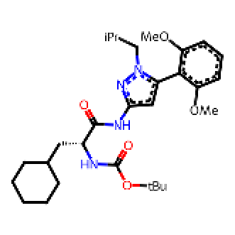 COc1cccc(OC)c1-c1cc(NC(=O)[C@@H](CC2CCCCC2)NC(=O)OC(C)(C)C)nn1CC(C)C